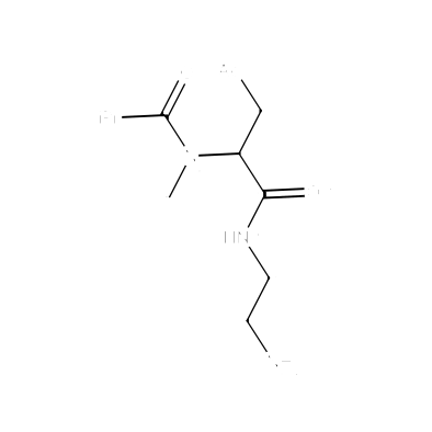 CC(=O)CC(C(=O)NCCN)N(C)C(=O)C(C)C